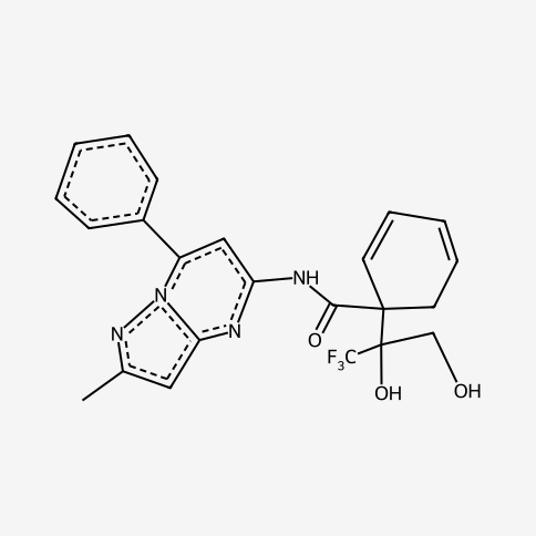 Cc1cc2nc(NC(=O)C3(C(O)(CO)C(F)(F)F)C=CC=CC3)cc(-c3ccccc3)n2n1